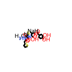 CO[C@]1(NC(=O)Cc2cccs2)C(=O)N2C(C(=O)O)=C(COC(=O)c3ccc(O)c(O)c3)CS[C@H]21.[NaH]